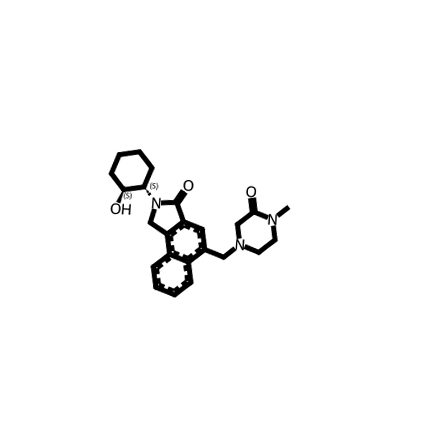 CN1CCN(Cc2cc3c(c4ccccc24)CN([C@H]2CCCC[C@@H]2O)C3=O)CC1=O